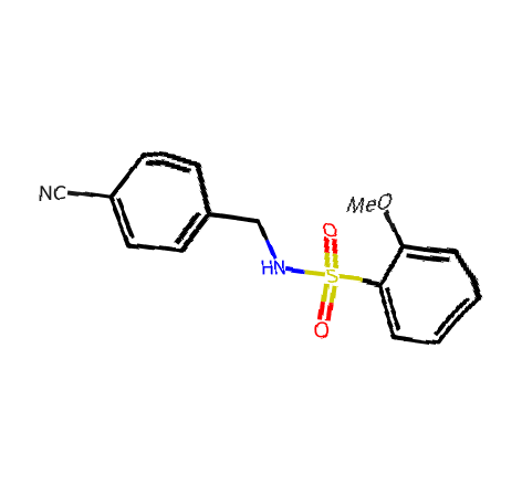 COc1ccccc1S(=O)(=O)NCc1ccc(C#N)cc1